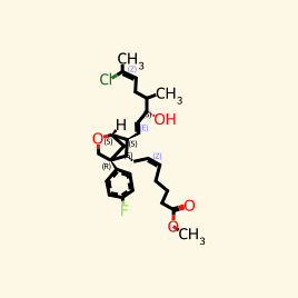 COC(=O)CCC/C=C\C[C@H]1[C@H](/C=C/[C@@H](O)C(C)C/C=C(/C)Cl)[C@@H]2C[C@@]1(c1ccc(F)cc1)CO2